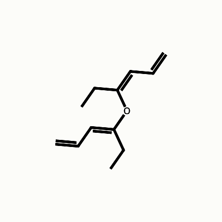 C=CC=C(CC)OC(=CC=C)CC